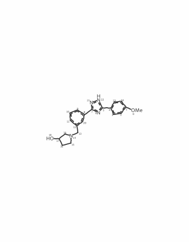 COc1ccc(-c2nc(-c3cccc(CN4CCC(O)C4)c3)n[nH]2)cc1